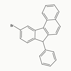 Brc1ccc2c(c1)-c1c(ccc3ccccc13)C2c1ccccc1